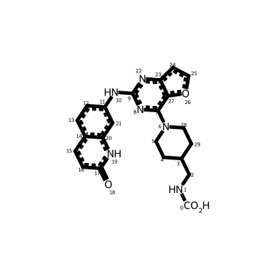 O=C(O)NCC1CCN(c2nc(Nc3ccc4ccc(=O)[nH]c4c3)nc3ccoc23)CC1